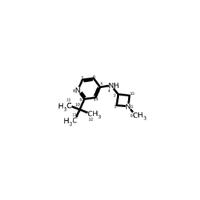 CN1CC(Nc2ccnc(C(C)(C)C)c2)C1